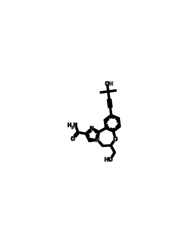 CC(C)(O)C#Cc1ccc2c(c1)-c1nc(C(N)=O)cn1CC(CO)O2